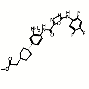 COC(=O)C[C@H]1CC[C@H](c2ccc(NC(=O)c3nnc(Nc4cc(F)c(F)cc4F)o3)c(N)c2)CC1